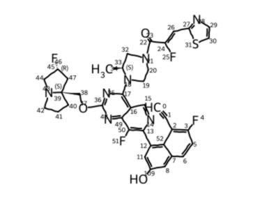 C#Cc1c(F)ccc2cc(O)cc(-c3ncc4c(N5CCN(C(=O)C(F)=Cc6nccs6)C[C@@H]5C)nc(OC[C@@]56CCCN5C[C@H](F)C6)nc4c3F)c12